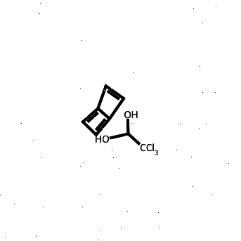 OC(O)C(Cl)(Cl)Cl.c1cc2ccc1-2